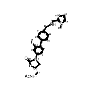 CC(=O)NC[C@H]1CN(c2ccc(-c3ccc(CNCc4nccn4C)cc3)c(F)c2)C(=O)O1